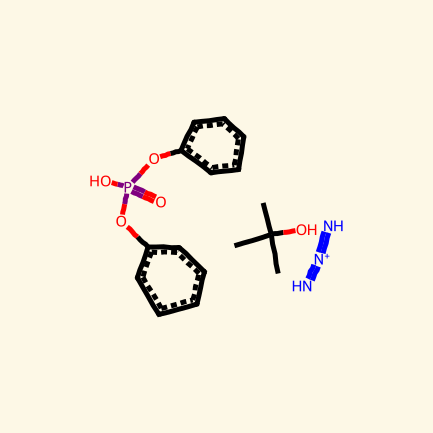 CC(C)(C)O.N=[N+]=N.O=P(O)(Oc1ccccc1)Oc1ccccc1